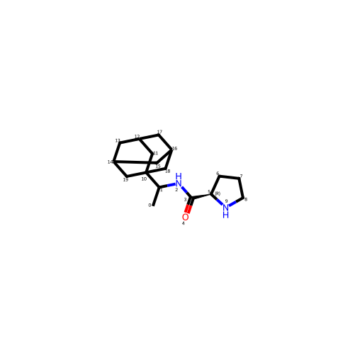 CC(NC(=O)[C@H]1CCCN1)C12CC3CC(CC(C3)C1)C2